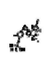 CC(O)(C#Cc1cc2c(cc1F)C1=CC(C1)n1c-2nc(C(N)=O)c1-c1nc(C2CC2)n[nH]1)CO